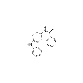 C[C@H](NC1CCc2[nH]c3ccccc3c2C1)c1ccccc1